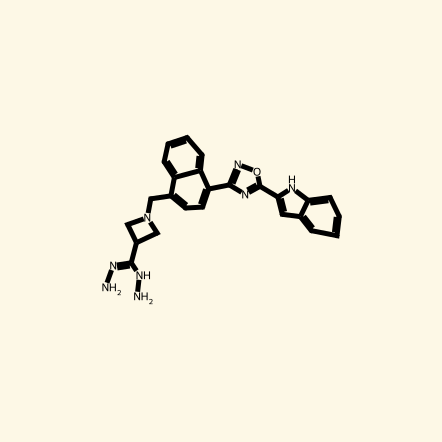 N/N=C(\NN)C1CN(Cc2ccc(-c3noc(-c4cc5ccccc5[nH]4)n3)c3ccccc23)C1